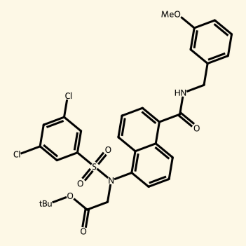 COc1cccc(CNC(=O)c2cccc3c(N(CC(=O)OC(C)(C)C)S(=O)(=O)c4cc(Cl)cc(Cl)c4)cccc23)c1